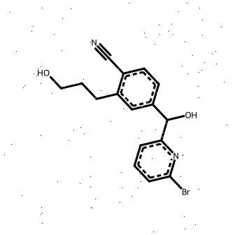 N#Cc1ccc(C(O)c2cccc(Br)n2)cc1CCCO